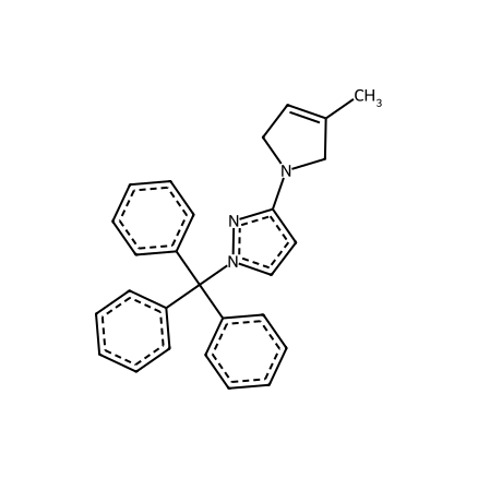 CC1=CCN(c2ccn(C(c3ccccc3)(c3ccccc3)c3ccccc3)n2)C1